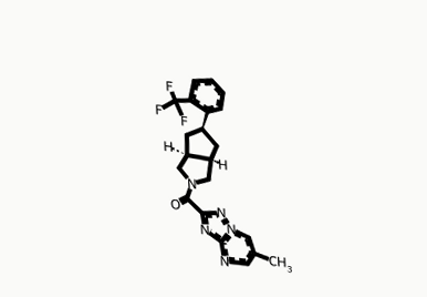 Cc1cnc2nc(C(=O)N3C[C@H]4C[C@@H](c5ccccc5C(F)(F)F)C[C@H]4C3)nn2c1